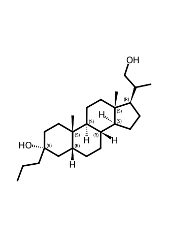 CCC[C@@]1(O)CC[C@@]2(C)[C@H](CC[C@@H]3[C@@H]2CC[C@]2(C)[C@@H](C(C)CO)CC[C@@H]32)C1